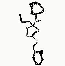 C=CCC1(Nc2ccccc2)N=NC(SCc2ccccc2)=N1